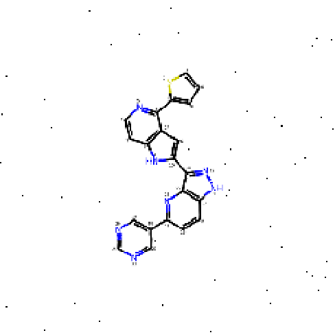 c1csc(-c2nccc3[nH]c(-c4n[nH]c5ccc(-c6cncnc6)nc45)cc23)c1